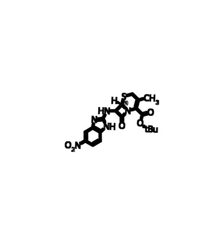 CC1=C(C(=O)OC(C)(C)C)N2C(=O)C(Nc3nc4cc([N+](=O)[O-])ccc4[nH]3)[C@@H]2SC1